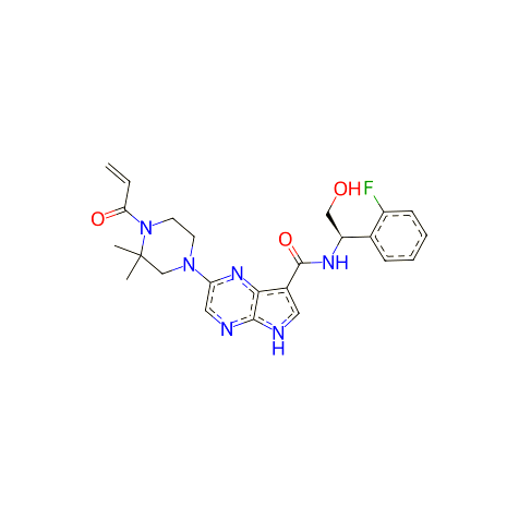 C=CC(=O)N1CCN(c2cnc3[nH]cc(C(=O)N[C@@H](CO)c4ccccc4F)c3n2)CC1(C)C